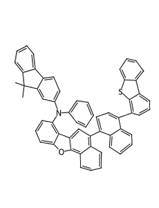 CC1(C)c2ccccc2-c2ccc(N(c3ccccc3)c3cccc4oc5c6ccccc6c(-c6ccc(-c7cccc8c7sc7ccccc78)c7ccccc67)cc5c34)cc21